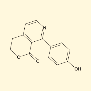 O=C1OCCc2ccnc(-c3ccc(O)cc3)c21